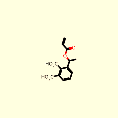 C=CC(=O)OC(C)c1cccc(C(=O)O)c1C(=O)O